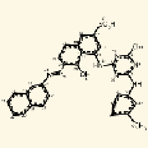 Cc1cccc(Nc2nc(Cl)nc(Nc3cc(S(=O)(=O)O)cc4ccc(N=Nc5ccc6ccccc6c5)c(O)c34)n2)c1